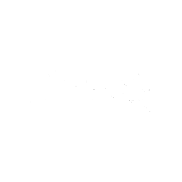 CCCCC(CC)COCC(O)CNc1nc(N)nc(N)n1